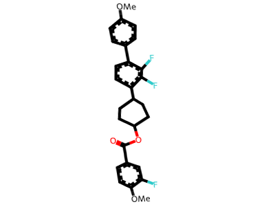 COc1ccc(-c2ccc(C3CCC(OC(=O)c4ccc(OC)c(F)c4)CC3)c(F)c2F)cc1